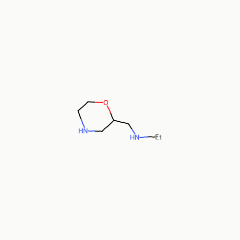 CCNCC1CNCCO1